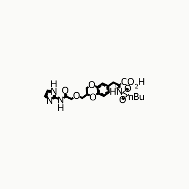 CCCCS(=O)(=O)N[C@@H](Cc1ccc2c(c1)OCC(COCC(=O)Nc1ncc[nH]1)O2)C(=O)O